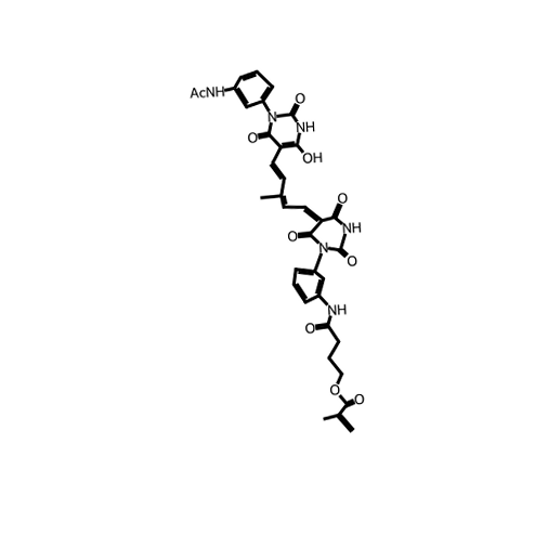 C=C(C)C(=O)OCCCC(=O)Nc1cccc(N2C(=O)NC(=O)C(=CC=C(C)C=Cc3c(O)[nH]c(=O)n(-c4cccc(NC(C)=O)c4)c3=O)C2=O)c1